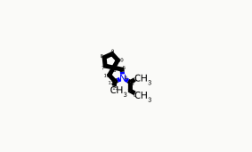 CCC(C)N1CC2(CCCC2)CC1C